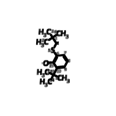 CC(C)(C)CSc1cccc(C(C)(C)C)c1[O]